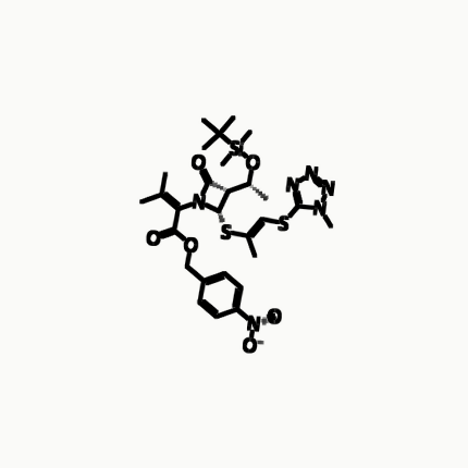 CC(=CSc1nnnn1C)S[C@H]1[C@@H]([C@@H](C)O[Si](C)(C)C(C)(C)C)C(=O)N1C(C(=O)OCc1ccc([N+](=O)[O-])cc1)=C(C)C